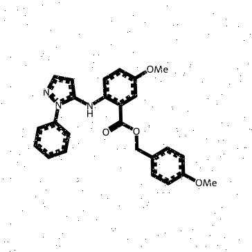 COc1ccc(COC(=O)c2cc(OC)ccc2Nc2ccnn2-c2ccccc2)cc1